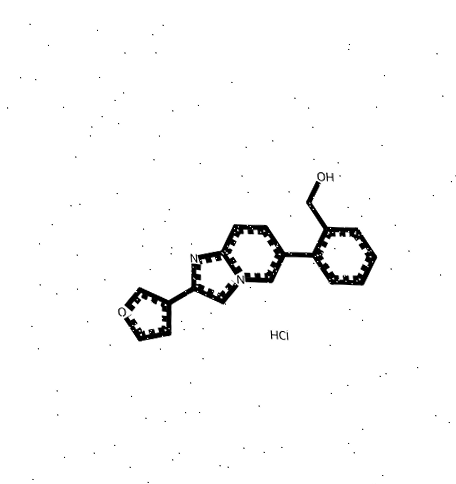 Cl.OCc1ccccc1-c1ccc2nc(-c3ccoc3)cn2c1